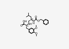 COc1ccc(C[C@H](NC[C@@H](CC(C)C)NC(=O)OCc2ccccc2)C(=O)O)cc1OC